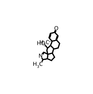 CC1N=CC23CC(O)C4C(CCC5=CC(=O)C=C[C@@]54C)C2CCC13